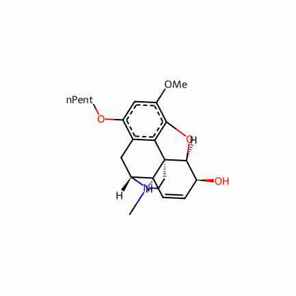 CCCCCOc1cc(OC)c2c3c1C[C@@H]1[C@@H]4C=C[C@H](O)[C@H](O2)[C@]34CCN1C